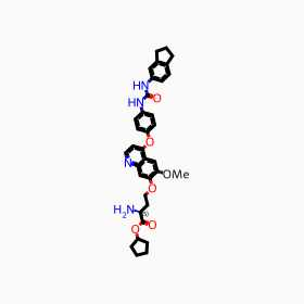 COc1cc2c(Oc3ccc(NC(=O)Nc4ccc5c(c4)CCC5)cc3)ccnc2cc1OCC[C@H](N)C(=O)OC1CCCC1